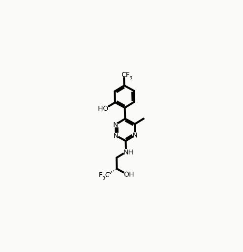 Cc1nc(NC[C@H](O)C(F)(F)F)nnc1-c1ccc(C(F)(F)F)cc1O